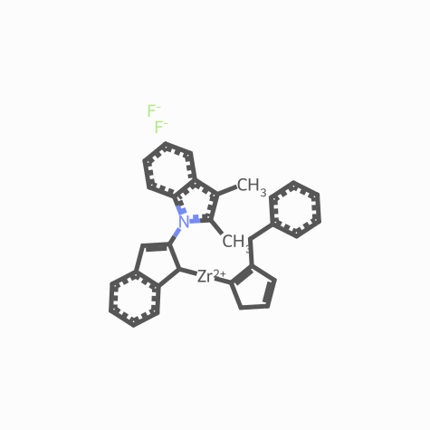 Cc1c(C)n(C2=Cc3ccccc3[CH]2[Zr+2][C]2=C(Cc3ccccc3)C=CC2)c2ccccc12.[F-].[F-]